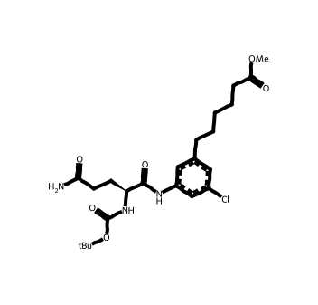 COC(=O)CCCCCc1cc(Cl)cc(NC(=O)[C@H](CCC(N)=O)NC(=O)OC(C)(C)C)c1